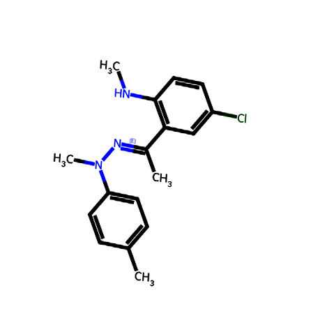 CNc1ccc(Cl)cc1/C(C)=N/N(C)c1ccc(C)cc1